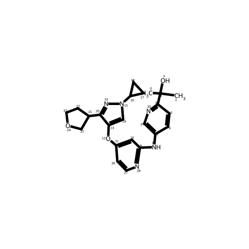 CC(C)(O)c1ccc(Nc2cc(Oc3cn(C4CC4)nc3C3CCOC3)ccn2)cn1